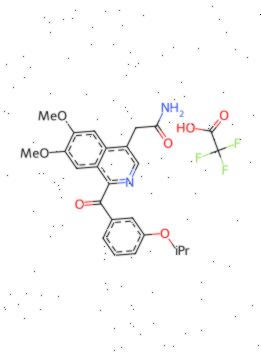 COc1cc2c(CC(N)=O)cnc(C(=O)c3cccc(OC(C)C)c3)c2cc1OC.O=C(O)C(F)(F)F